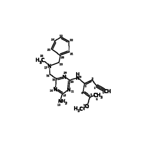 C#C/C=C(\C=C(/C)OC)Nc1nc(N)nc(CN(C)Cc2ccccc2)n1